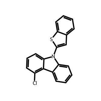 Clc1cccc2c1c1ccccc1n2-c1cc2ccccc2s1